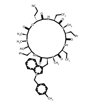 Cc1ccc(Cn2cc(C[C@H]3C(=O)N[C@@H](CC(C)C)C(O)N(C)[C@@H](C)C(=O)O[C@H](CCC#N)C(=O)N[C@@H](CC(F)(F)F)C(=O)N(C)[C@@H](CC(C)C)C(=O)N[C@@H](CC(F)(F)F)C(=O)N3C)c3ccccc32)cc1